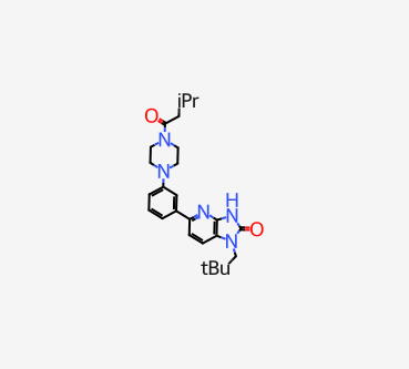 CC(C)CC(=O)N1CCN(c2cccc(-c3ccc4c(n3)[nH]c(=O)n4CC(C)(C)C)c2)CC1